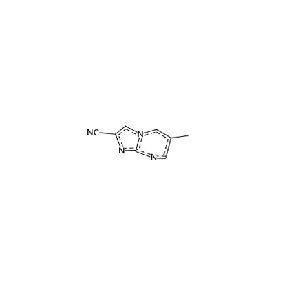 Cc1cnc2nc(C#N)cn2c1